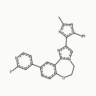 Cc1nc(-c2cn3c(n2)-c2cc(-c4ccnc(F)c4)ccc2OCC3)n(C(C)C)n1